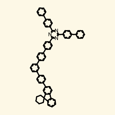 c1ccc(-c2ccc(-c3nc(-c4ccc(-c5ccccc5)cc4)nc(-c4ccc(-c5ccc(-c6cccc(-c7ccc(-c8ccc9c(c8)C8(CCCCC8)c8ccccc8-9)cc7)c6)cc5)cc4)n3)cc2)cc1